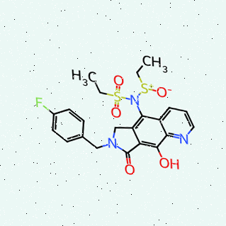 CC[S+]([O-])N(c1c2c(c(O)c3ncccc13)C(=O)N(Cc1ccc(F)cc1)C2)S(=O)(=O)CC